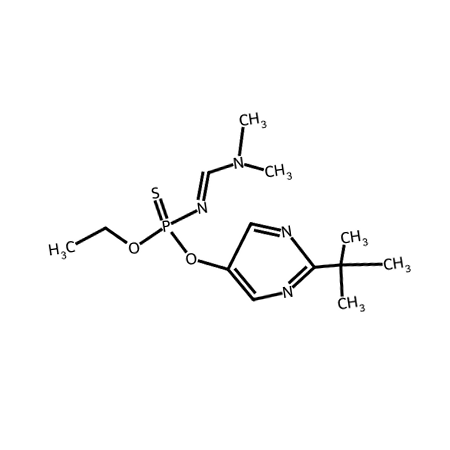 CCOP(=S)(N=CN(C)C)Oc1cnc(C(C)(C)C)nc1